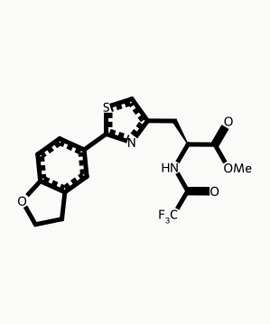 COC(=O)[C@H](Cc1csc(-c2ccc3c(c2)CCO3)n1)NC(=O)C(F)(F)F